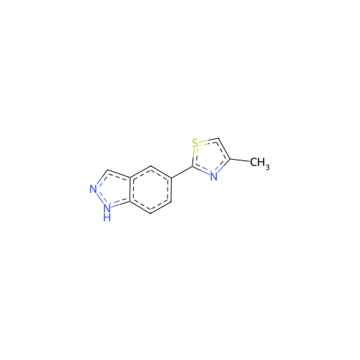 Cc1csc(-c2ccc3[nH]ncc3c2)n1